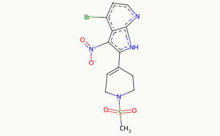 CS(=O)(=O)N1CC=C(c2[nH]c3nccc(Br)c3c2[N+](=O)[O-])CC1